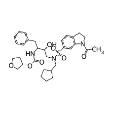 CC(=O)N1CCc2ccc(S(=O)(=O)N(CC3CCCC3)C[C@H](O)C(Cc3ccccc3)NC(=O)O[C@H]3CCOC3)cc21